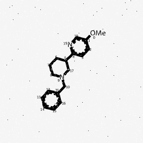 COc1ccc(C2CCCN(Cc3ccccc3)C2)nc1